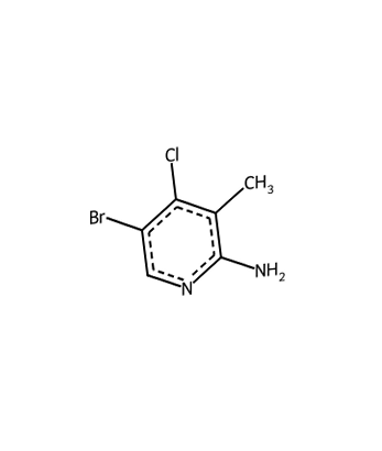 Cc1c(N)ncc(Br)c1Cl